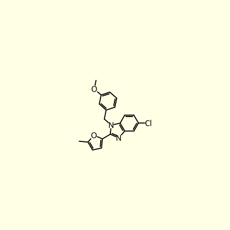 COc1cccc(Cn2c(-c3ccc(C)o3)nc3cc(Cl)ccc32)c1